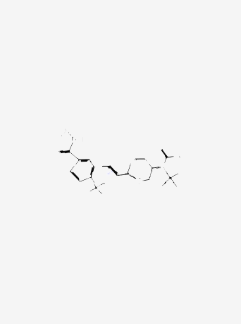 CC(C)(C)N(C(=O)O)C1COC(/C=C/c2cc(C(=O)NN)ccc2C(F)(F)F)OC1